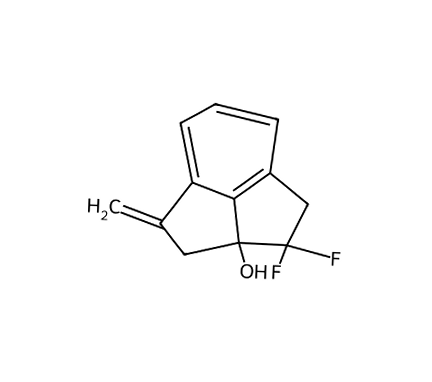 C=C1CC2(O)c3c(cccc31)CC2(F)F